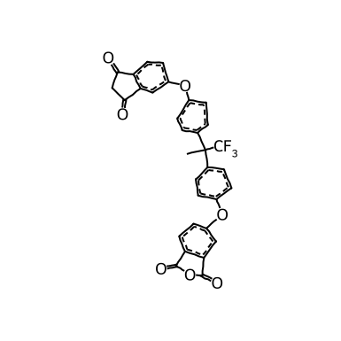 CC(c1ccc(Oc2ccc3c(c2)C(=O)CC3=O)cc1)(c1ccc(Oc2ccc3c(c2)C(=O)OC3=O)cc1)C(F)(F)F